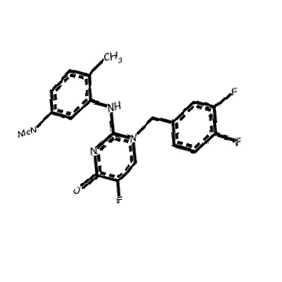 CNc1ccc(C)c(Nc2nc(=O)c(F)cn2Cc2ccc(F)c(F)c2)c1